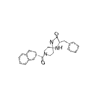 O=C1[N]C2(CCN(C(=O)c3ccc4ccccc4c3)CC2)NC1Cc1ccccc1